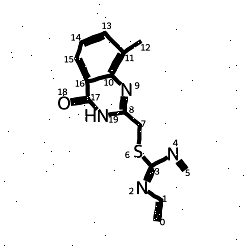 C=C/N=C(\N=C)SCc1nc2c(C)cccc2c(=O)[nH]1